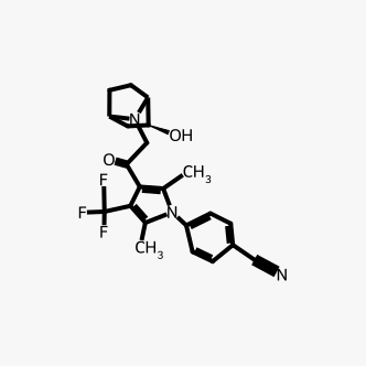 Cc1c(C(=O)CN2C3CCC2[C@@H](O)C3)c(C(F)(F)F)c(C)n1-c1ccc(C#N)cc1